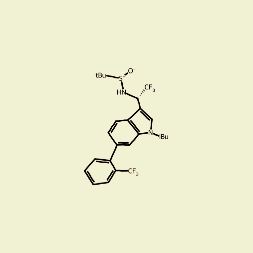 CCC(C)n1cc([C@H](N[S+]([O-])C(C)(C)C)C(F)(F)F)c2ccc(-c3ccccc3C(F)(F)F)cc21